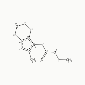 CCOC(=O)Cn1c(C)cc2c1CCOC2